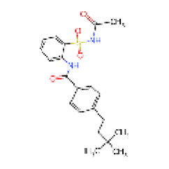 CC(=O)NS(=O)(=O)c1ccccc1NC(=O)c1ccc(CCC(C)(C)C)cc1